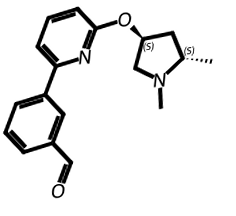 C[C@H]1C[C@H](Oc2cccc(-c3cccc(C=O)c3)n2)CN1C